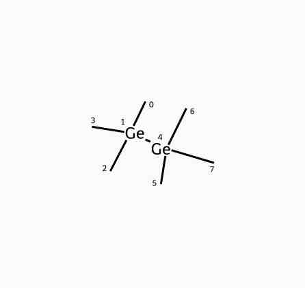 [CH3][Ge]([CH3])([CH3])[Ge]([CH3])([CH3])[CH3]